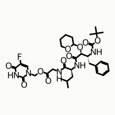 CC(C)C[C@H](NC(=O)[C@@H](OC1CCCCO1)[C@@H](Cc1ccccc1)NC(=O)OC(C)(C)C)C(=O)NCC(=O)OCn1cc(F)c(=O)[nH]c1=O